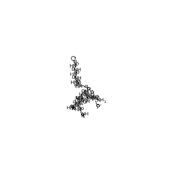 CCc1cc(OCCCCNC(=O)[C@@H](CO)NC(=O)CNC(=O)CNC(=O)CNC(=O)CNC(=O)COC2C#CCCCCC2)ccc1-c1ccc(C[C@H](NC(=O)[C@H](CC(=O)O)NC(=O)[C@H](C)NC(=O)[C@@H](NC(=O)C(C)(Cc2ccccc2F)NC(=O)[C@@H](NC(=O)CNC(=O)[C@H](Cc2nn[nH]n2)NC(=O)C(C)(C)C(=O)NCCc2cnc[nH]2)[C@@H](C)O)[C@@H](C)O)C(=O)N[C@@H](CCCc2cc(C)cc(C)c2)C(N)=O)cc1